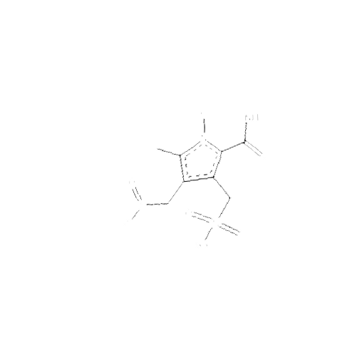 Cc1c(CS(=O)O)c(CS(=O)(=O)O)c(C(N)=O)n1C